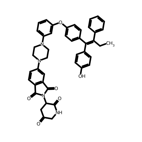 CCC(=C(c1ccc(O)cc1)c1ccc(Oc2cccc(N3CCN(c4ccc5c(c4)C(=O)N(C4CC(=O)CNC4=O)C5=O)CC3)c2)cc1)c1ccccc1